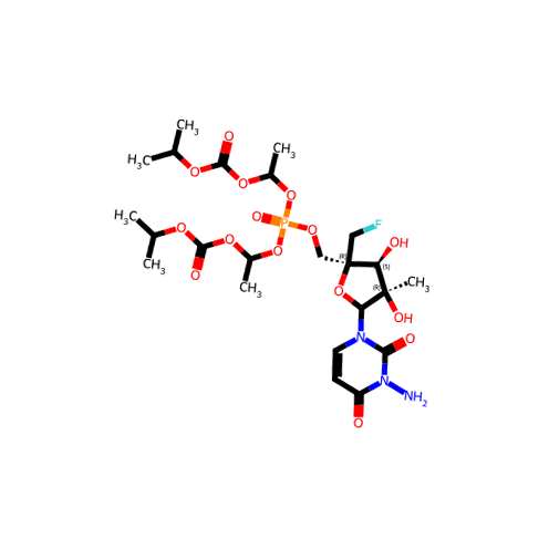 CC(C)OC(=O)OC(C)OP(=O)(OC[C@@]1(CF)OC(n2ccc(=O)n(N)c2=O)[C@](C)(O)[C@@H]1O)OC(C)OC(=O)OC(C)C